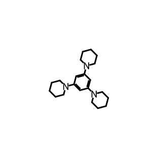 c1c(N2CCCCC2)cc(N2CCCCC2)cc1N1CCCCC1